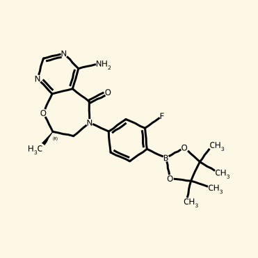 C[C@@H]1CN(c2ccc(B3OC(C)(C)C(C)(C)O3)c(F)c2)C(=O)c2c(N)ncnc2O1